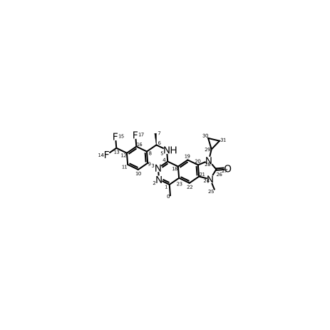 Cc1nnc(N[C@H](C)c2cccc(C(F)F)c2F)c2cc3c(cc12)n(C)c(=O)n3C1CC1